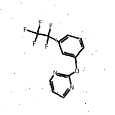 FC(F)(F)C(F)(F)c1cccc(Oc2ncccn2)c1